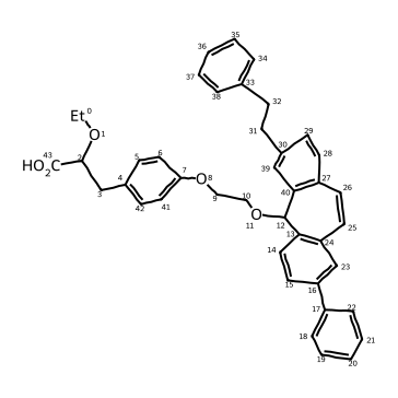 CCOC(Cc1ccc(OCCOC2c3ccc(-c4ccccc4)cc3C=Cc3ccc(CCc4ccccc4)cc32)cc1)C(=O)O